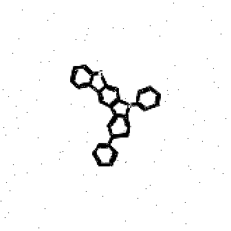 c1ccc(-c2ccc3c(c2)c2cc4c(cc2n3-c2ccccc2)sc2ccccc24)cc1